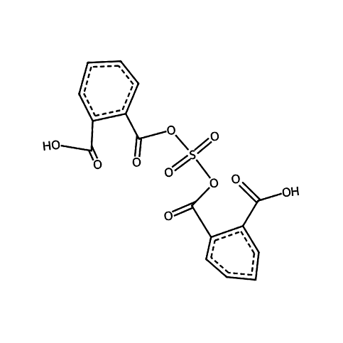 O=C(O)c1ccccc1C(=O)OS(=O)(=O)OC(=O)c1ccccc1C(=O)O